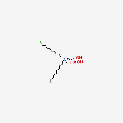 CCCCCCCCCC[N+](C)(CCCCCCCCCC)CCC[Si](O)(O)O.[Cl-]